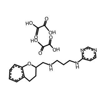 O=C(O)C(=O)O.O=C(O)C(=O)O.c1ccc2c(c1)CCC(CNCCCNc1ccncn1)O2